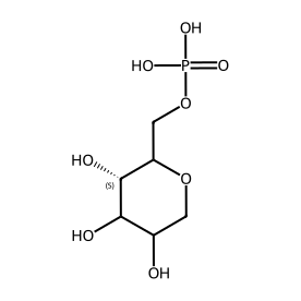 O=P(O)(O)OCC1OCC(O)C(O)[C@@H]1O